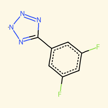 Fc1cc(F)cc(C2=N[N]N=N2)c1